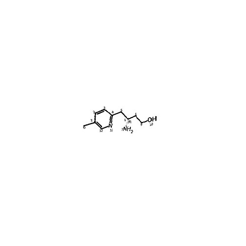 Cc1ccc(C[C@@H](N)CCO)nc1